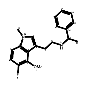 COc1c(F)ccc2c1c(CCNC(C)c1ccccc1)cn2C